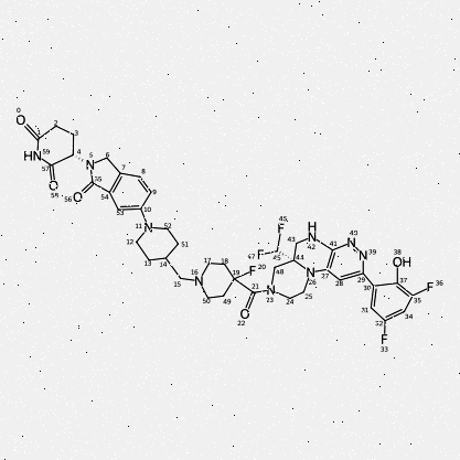 O=C1CC[C@H](N2Cc3ccc(N4CCC(CN5CCC(F)(C(=O)N6CCN7c8cc(-c9cc(F)cc(F)c9O)nnc8NC[C@]7(C(F)F)C6)CC5)CC4)cc3C2=O)C(=O)N1